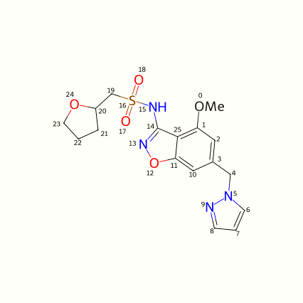 COc1cc(Cn2cccn2)cc2onc(NS(=O)(=O)CC3CCCO3)c12